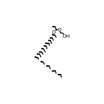 C=CC.C=CC.C=CC.C=CC.C=CC.C=CC.C=CC.C=CC.C=CC.C=CC.C=CC.C=CC.C=CC.C=CC(=O)OCCO